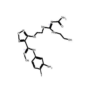 Bc1cc(N/C(=N\O)c2nonc2NCCN/C(=N/C(N)=O)NCCO)ccc1F